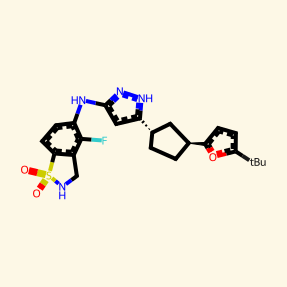 CC(C)(C)c1ccc([C@H]2CC[C@H](c3cc(Nc4ccc5c(c4F)CNS5(=O)=O)n[nH]3)C2)o1